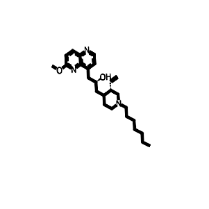 C=C[C@@H]1CN(CCCCCCC)CCC1C[C@@H](O)Cc1ccnc2ccc(OC)nc12